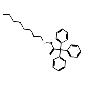 C=C(C(=O)NCCCCCCCC)C(c1ccccc1)(c1ccccc1)c1ccccc1